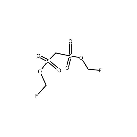 O=S(=O)(CS(=O)(=O)OCF)OCF